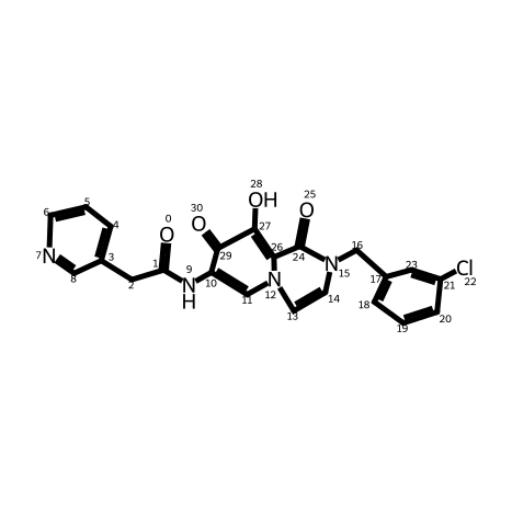 O=C(Cc1cccnc1)Nc1cn2ccn(Cc3cccc(Cl)c3)c(=O)c2c(O)c1=O